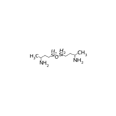 CC(N)CC[SiH2]O[SiH2]CCC(C)N